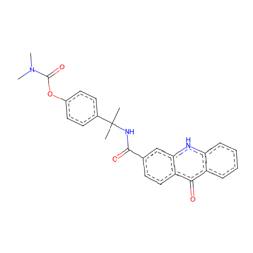 CN(C)C(=O)Oc1ccc(C(C)(C)NC(=O)c2ccc3c(=O)c4ccccc4[nH]c3c2)cc1